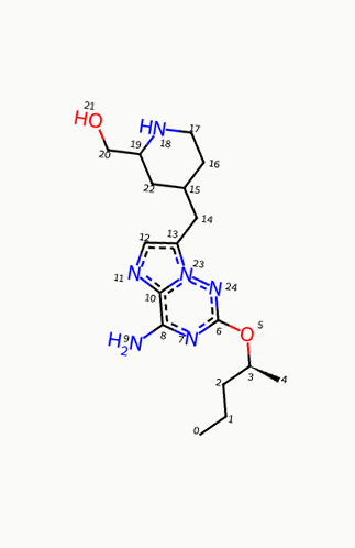 CCC[C@H](C)Oc1nc(N)c2ncc(CC3CCNC(CO)C3)n2n1